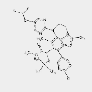 COC(=O)C(OC(C)(C)C)c1c(C)c2c3c(cc(C)n3CCN2c2ncc(OC(F)F)cn2)c1-c1ccc(Cl)cc1